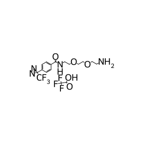 NCCOCCOCCNC(=O)c1ccc(C2(C(F)(F)F)N=N2)cc1.O=C(O)C(F)(F)F